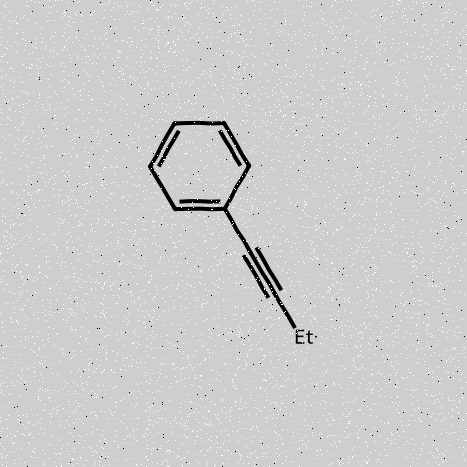 C[CH]C#Cc1ccccc1